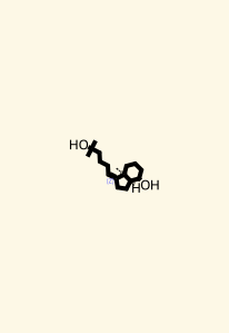 CC(C)(O)CCC/C=C1/CC[C@H]2C(O)CCC[C@]12C